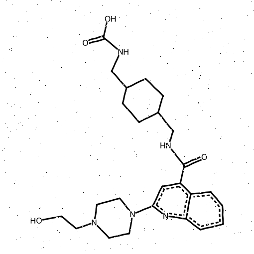 O=C(O)NCC1CCC(CNC(=O)c2cc(N3CCN(CCO)CC3)nc3ccccc23)CC1